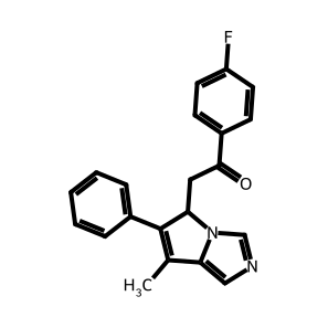 CC1=C(c2ccccc2)C(CC(=O)c2ccc(F)cc2)n2cncc21